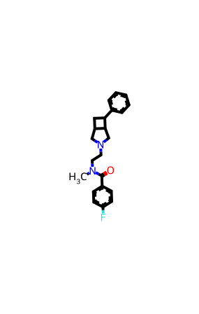 CN(CCN1CC2CC(c3ccccc3)C2C1)C(=O)c1ccc(F)cc1